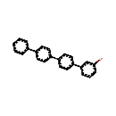 Brc1cccc(-c2ccc(-c3ccc(-c4ccccc4)cc3)cc2)c1